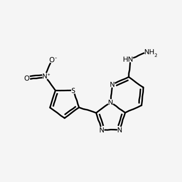 NNc1ccc2nnc(-c3ccc([N+](=O)[O-])s3)n2n1